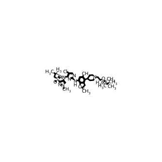 Cc1cc(Nc2ncc(Cl)c(Nc3cn(C)nc3S(=O)(=O)CC(C)C)n2)c2c(c1C1CCN(CCO[Si](C)(C)C(C)(C)C)CC1)C[C@@H](C)O2